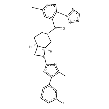 Cc1ccc(-n2nccn2)c(C(=O)N2CC[C@@H]3CN(c4nc(C)c(-c5cccc(F)c5)s4)[C@@H]3C2)c1